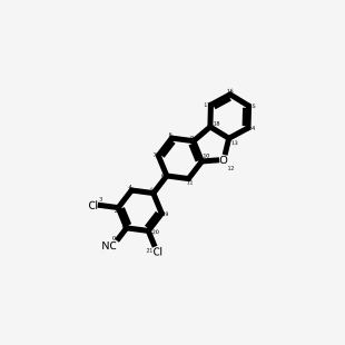 N#CC1=C(Cl)CC(C2C=CC3=C(C2)OC2C=CC=CC32)C=C1Cl